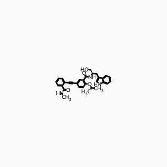 CNC(=O)c1ccccc1C#Cc1ccc(OC(C)C)c(C(=O)N[C@@H](CO)Cc2c[nH]c3ccccc23)c1